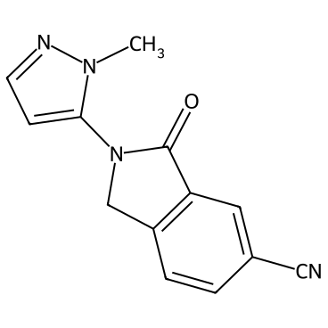 Cn1nccc1N1Cc2ccc(C#N)cc2C1=O